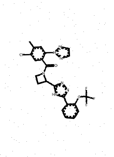 Cc1cc(-n2nccn2)c(C(=O)N2CCC2c2nnc(-c3ccccc3OC(F)(F)F)[nH]2)cc1Cl